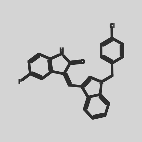 O=C1Nc2ccc(F)cc2C1=Cc1cn(Cc2ccc(Cl)cc2)c2ccccc12